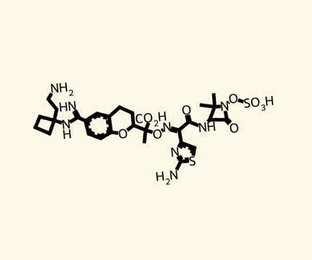 CC(ON=C(C(=O)NC1C(=O)N(OS(=O)(=O)O)C1(C)C)c1csc(N)n1)(C(=O)O)C1CCc2cc(C(=N)NC3(CCN)CCC3)ccc2O1